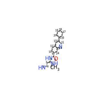 CN/C(=C\C=N)NC(=O)c1ccc2cc(-c3ccccc3)cnc2c1